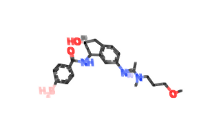 Bc1ccc(C(=O)NC2c3cc(/N=C(\C)N(C)CCCOC)ccc3C[C@H]2O)cc1